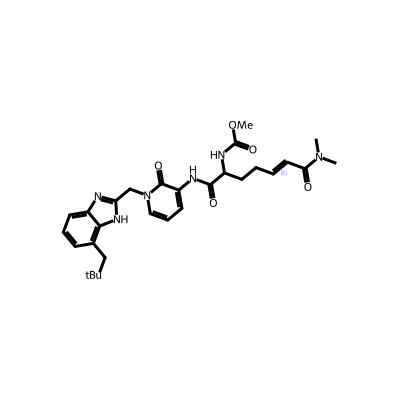 COC(=O)NC(CC/C=C/C(=O)N(C)C)C(=O)Nc1cccn(Cc2nc3cccc(CC(C)(C)C)c3[nH]2)c1=O